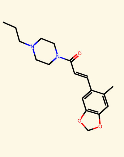 CCCN1CCN(C(=O)/C=C/c2cc3c(cc2C)OCO3)CC1